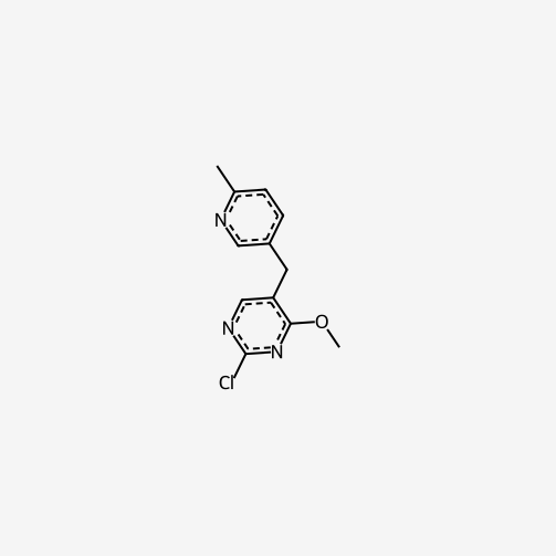 COc1nc(Cl)ncc1Cc1ccc(C)nc1